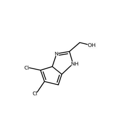 OCC1=NC2C(=CC(Cl)=C2Cl)N1